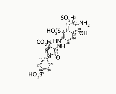 Nc1c(S(=O)(=O)O)cc2c(S(=O)(=O)O)c(NNC3C(=O)N(c4ccc(S(=O)(=O)O)cc4)N=C3C(=O)O)ccc2c1O